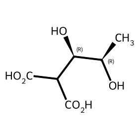 C[C@@H](O)[C@H](O)C(C(=O)O)C(=O)O